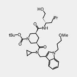 COCCCn1cc(CN(C(=O)[C@@H]2C[C@H](C(=O)N[C@H](CCO)CC(C)C)CN(C(=O)OC(C)(C)C)C2)C2CC2)c2ccccc21